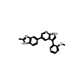 COc1ccccc1-c1c[nH]c2ncc(-c3ccc4[nH]c(C)nc4c3)cc12